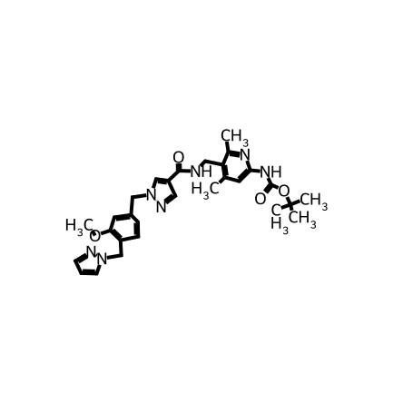 COc1cc(Cn2cc(C(=O)NCc3c(C)cc(NC(=O)OC(C)(C)C)nc3C)cn2)ccc1Cn1cccn1